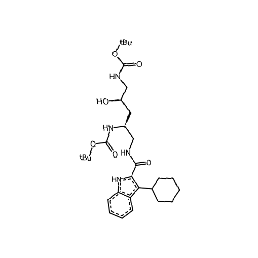 CC(C)(C)OC(=O)NCC(O)C[C@@H](CNC(=O)c1[nH]c2ccccc2c1C1CCCCC1)NC(=O)OC(C)(C)C